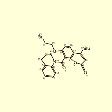 CCCCc1cc(=O)oc2c(C(=O)N3CCCc4ccccc43)c(OCCBr)ccc12